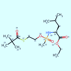 CCOC(=O)[C@H](CC(C)C)NP(C)(=O)OCCSC(=O)C(C)(C)C